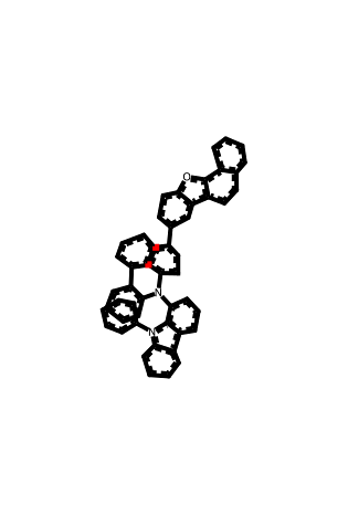 c1ccc(-c2ccccc2N(c2ccc(-c3ccc4oc5c6ccccc6ccc5c4c3)cc2)c2cccc3c4ccccc4n(-c4ccccc4)c23)cc1